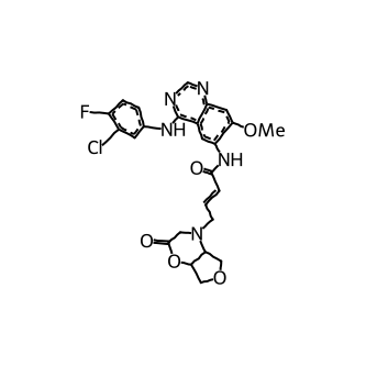 COc1cc2ncnc(Nc3ccc(F)c(Cl)c3)c2cc1NC(=O)/C=C/CN1CC(=O)OC2COCC21